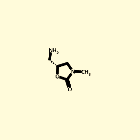 CN1C[C@@H](CN)OC1=O